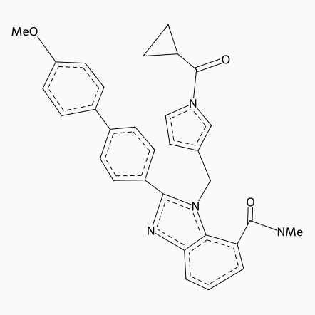 CNC(=O)c1cccc2nc(-c3ccc(-c4ccc(OC)cc4)cc3)n(Cc3ccn(C(=O)C4CC4)c3)c12